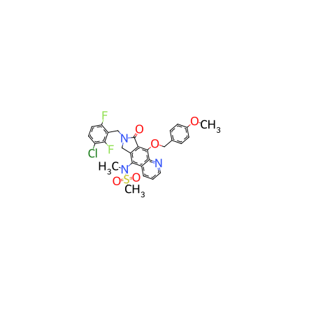 COc1ccc(COc2c3c(c(N(C)S(C)(=O)=O)c4cccnc24)CN(Cc2c(F)ccc(Cl)c2F)C3=O)cc1